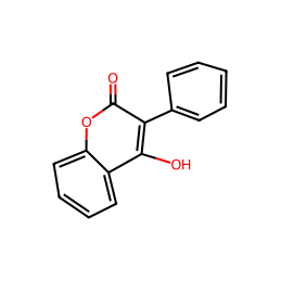 O=c1oc2ccccc2c(O)c1-c1ccccc1